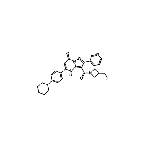 O=C(c1c(-c2cccnc2)nn2c(=O)cc(-c3ccc(C4CCCCC4)cc3)[nH]c12)N1CC(CF)C1